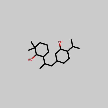 CC(C)C1CCC(CC(C)C2CCCC(C)(C)C2O)CC1O